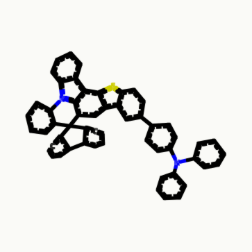 c1ccc(N(c2ccccc2)c2ccc(-c3ccc4sc5c(cc6c7c5c5ccccc5n7-c5ccccc5C65c6ccccc6-c6ccccc65)c4c3)cc2)cc1